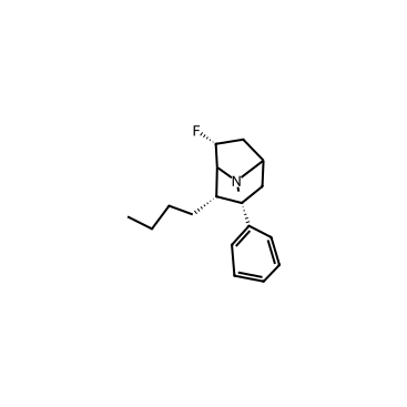 CCCC[C@@H]1C2[C@H](F)CC(C[C@@H]1c1ccccc1)N2C